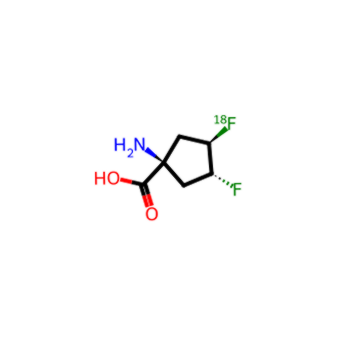 N[C@]1(C(=O)O)C[C@@H](F)[C@H]([18F])C1